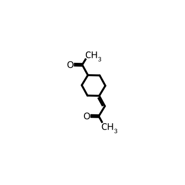 CC(=O)C=C1CCC(C(C)=O)CC1